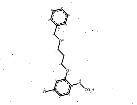 O=C(O)Nc1ccc(Cl)cc1OCCCOCc1ccccc1